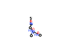 C[Si](C)(C)CCOCn1cc(-c2cccc(C(=O)Nc3nc(CCC(=O)Nc4ccccc4)cn3Cc3ccccc3)c2)cn1